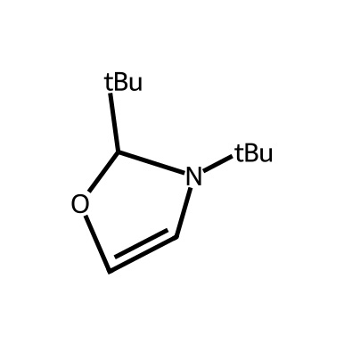 CC(C)(C)C1OC=CN1C(C)(C)C